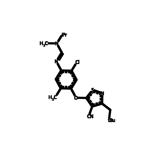 Cc1cc(N=CN(C)C(C)C)c(Cl)cc1Oc1snc(CC(C)(C)C)c1C#N